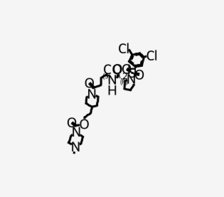 CN1CCN(C(=O)OCCC2CCN(C(=O)CC[C@H](NC(=O)[C@H]3CCCN3S(=O)(=O)c3cc(Cl)cc(Cl)c3)C(=O)O)CC2)CC1